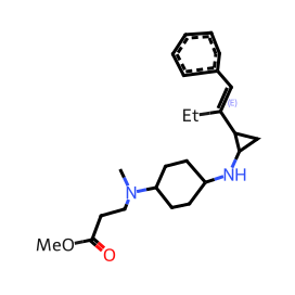 CC/C(=C\c1ccccc1)C1CC1NC1CCC(N(C)CCC(=O)OC)CC1